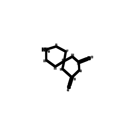 O=C1CC(=O)CC2(CCNCC2)C1